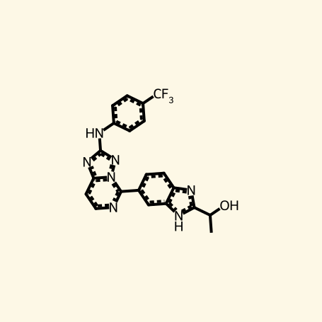 CC(O)c1nc2ccc(-c3nccc4nc(Nc5ccc(C(F)(F)F)cc5)nn34)cc2[nH]1